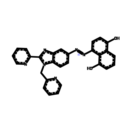 Oc1ccc(/N=N/c2ccc3c(c2)nc(-c2ccccn2)n3Cc2ccccn2)c2c(O)cccc12